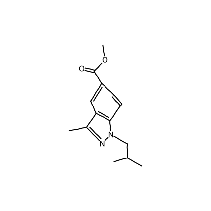 COC(=O)c1ccc2c(c1)c(C)nn2CC(C)C